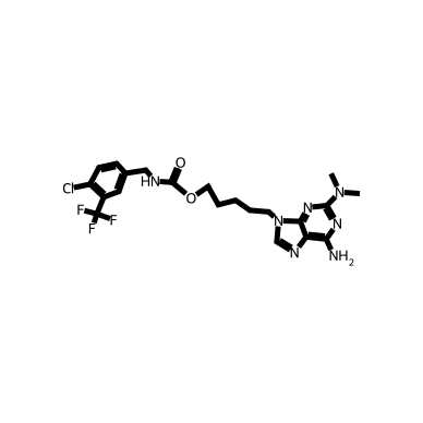 CN(C)c1nc(N)c2ncn(CCCCCOC(=O)NCc3ccc(Cl)c(C(F)(F)F)c3)c2n1